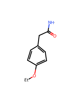 CCOc1ccc(CC([NH])=O)cc1